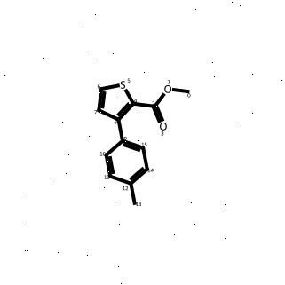 COC(=O)c1sccc1-c1ccc(C)cc1